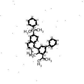 Cc1c(-c2c3ccc([Si](C)(C)c4ccccc4)cc3cc[n+]2C)cc(-c2ccccc2)cc1C(C)C